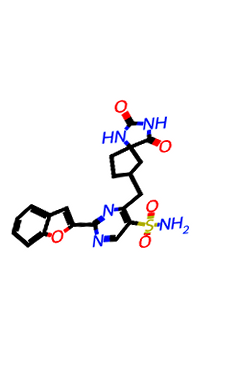 NS(=O)(=O)c1cnc(-c2cc3ccccc3o2)nc1CC1CCC2(C1)NC(=O)NC2=O